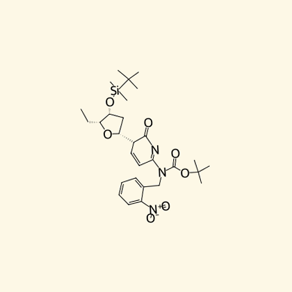 CC[C@H]1O[C@@H](C2C=CC(N(Cc3ccccc3[N+](=O)[O-])C(=O)OC(C)(C)C)=NC2=O)C[C@H]1O[Si](C)(C)C(C)(C)C